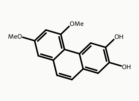 COc1cc(OC)c2c(ccc3cc(O)c(O)cc32)c1